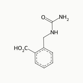 NC(=O)NCc1ccccc1C(=O)O